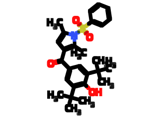 Cc1cc(C(=O)c2cc(C(C)(C)C)c(O)c(C(C)(C)C)c2)c(C)n1S(=O)(=O)c1ccccc1